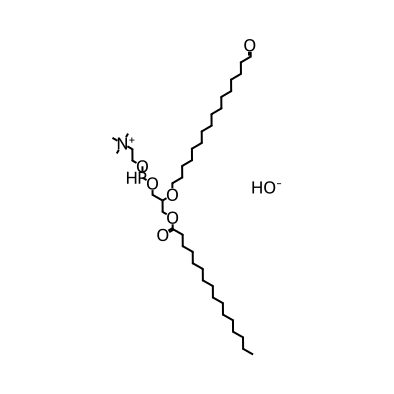 CCCCCCCCCCCCCCCC(=O)OCC(COPOCC[N+](C)(C)C)OCCCCCCCCCCCCCCCC=O.[OH-]